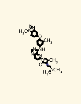 Cc1cc(Nc2ncnc3ccc(N4CC(C)/C(=C\CN(C)C)C4=O)nc23)ccc1Oc1ccc2c(c1)nnn2C